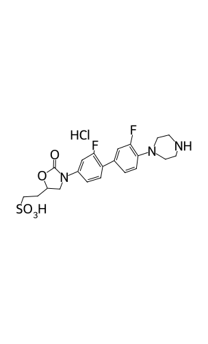 Cl.O=C1OC(CCS(=O)(=O)O)CN1c1ccc(-c2ccc(N3CCNCC3)c(F)c2)c(F)c1